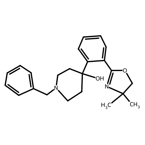 CC1(C)COC(c2ccccc2C2(O)CCN(Cc3ccccc3)CC2)=N1